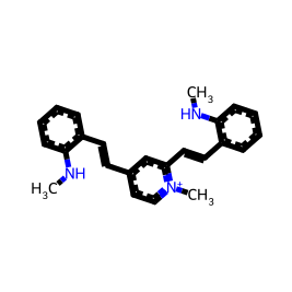 CNc1ccccc1/C=C/c1cc[n+](C)c(/C=C/c2ccccc2NC)c1